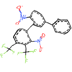 O=[N+]([O-])c1ccc(-c2ccccc2)cc1-c1ccc(C(F)(F)F)c(C(F)(F)F)c1[N+](=O)[O-]